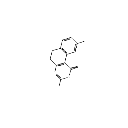 Cl.Nc1nc2c(c(=O)[nH]1)-c1cc(Cl)ccc1CC2